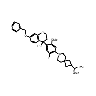 COc1cc(N2CCC3(CC2)CC(C(OC)OC)C3)c(F)cc1C1(O)CCOc2cc(OCc3ccccc3)ccc21